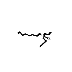 CCCCCCCC[Si](Cl)(CCC)CCC